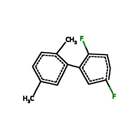 Cc1ccc(C)c(-c2cc(F)ccc2F)c1